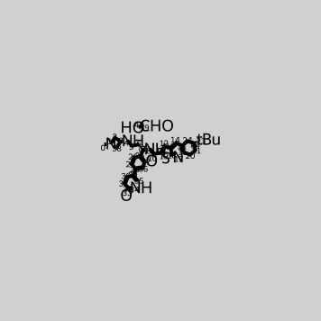 CN1CC(NCC[C@@H](NC(=O)c2cc3cc4c(nc3s2)CC[C@H](C(C)(C)C)C4)c2ccc(-c3ccc(=O)[nH]c3)cc2)C1.O=CO